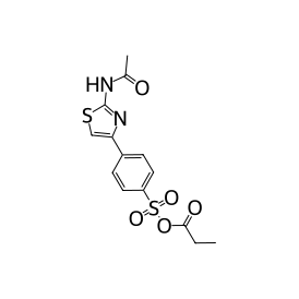 CCC(=O)OS(=O)(=O)c1ccc(-c2csc(NC(C)=O)n2)cc1